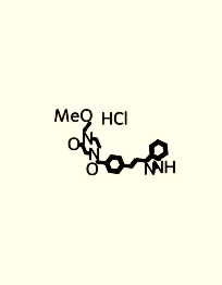 COCCN1CCN(C(=O)c2ccc(C=Cc3n[nH]c4ccccc34)cc2)CC1=O.Cl